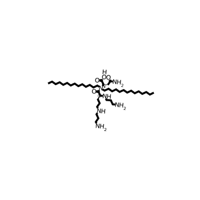 CCCCCCCCCCCCCC[N+](CCCCCCCCCCCCCC)(C(=O)[C@H](CCCNCCCN)NCCCN)[C@@H](CC(N)=O)C(=O)O